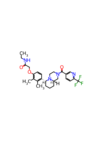 CCNC(=O)COc1ccc([C@H]2CCC[C@H]3CN(C(=O)c4ccc(C(F)(F)F)nc4)CCN32)c(C)c1C